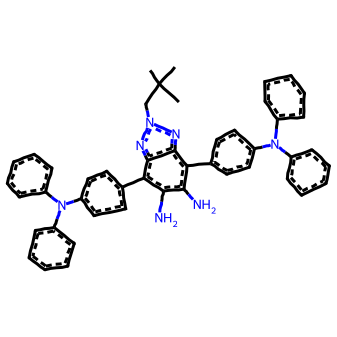 CC(C)(C)Cn1nc2c(-c3ccc(N(c4ccccc4)c4ccccc4)cc3)c(N)c(N)c(-c3ccc(N(c4ccccc4)c4ccccc4)cc3)c2n1